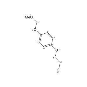 COCOc1ccc(OCCCl)cc1